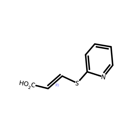 O=C(O)/C=C/Sc1ccccn1